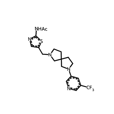 CC(=O)Nc1ncc(CN2CCC3(CCN(c4cncc(C(F)(F)F)c4)C3)C2)s1